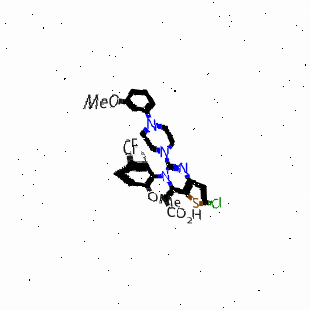 COc1cccc(N2CCN(C3=Nc4cc(Cl)sc4C(CC(=O)O)N3c3cc(C(F)(F)F)ccc3OC)CC2)c1